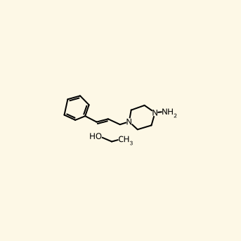 CCO.NN1CCN(CC=Cc2ccccc2)CC1